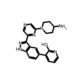 NC1CCN(c2cncc(-c3n[nH]c4ccc(-c5cccnc5O)cc34)n2)CC1